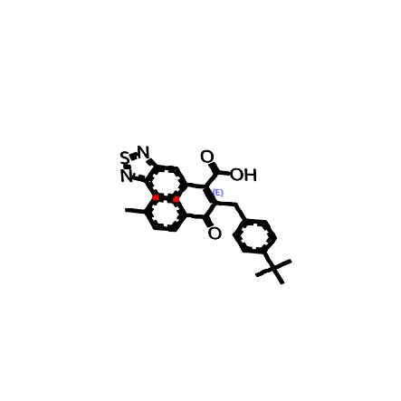 Cc1ccc(C(=O)/C(Cc2ccc(C(C)(C)C)cc2)=C(/C(=O)O)c2ccc3nsnc3c2)cc1